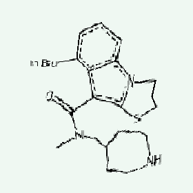 CCCCc1cccc2c1c(C(=O)N(C)C1CCNCC1)c1n2CCS1